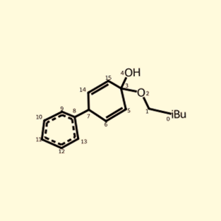 CCC(C)COC1(O)C=CC(c2ccccc2)C=C1